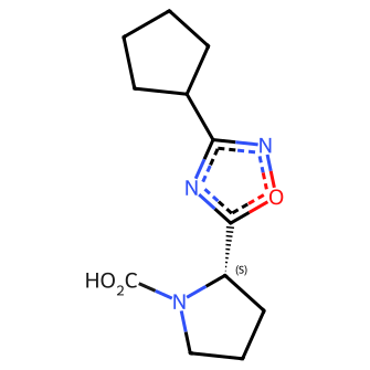 O=C(O)N1CCC[C@H]1c1nc(C2CCCC2)no1